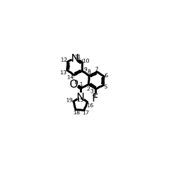 O=C(c1c(F)cccc1-c1[c]nccc1)N1CCCC1